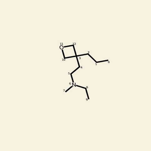 CCCC1(CCN(C)CC)COC1